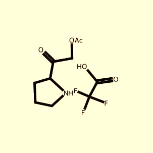 CC(=O)OCC(=O)C1CCCN1.O=C(O)C(F)(F)F